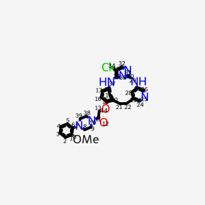 COc1ccccc1N1CCN(C(=O)COc2ccc3cc2CCc2cncc(c2)Nc2ncc(Cl)c(n2)N3)CC1